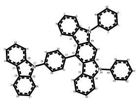 c1ccc(-n2c3ccccc3c3c(-c4ccc(-n5c6ccccc6c6ccccc65)cc4)c4c5ccccc5n(-c5ccccc5)c4cc32)cc1